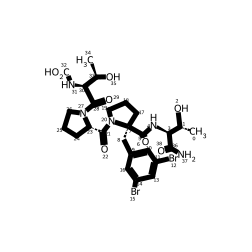 C[C@@H](O)[C@H](NC(=O)[C@]1(Cc2cc(Br)cc(Br)c2)CCCN1C(=O)[C@@H]1CCCN1C(=O)[C@@H](NC(=O)O)[C@@H](C)O)C(N)=O